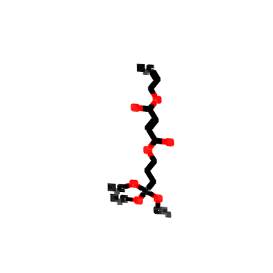 C=CCOC(=O)C=CC(=O)OCCC[Si](OC)(OC)OC